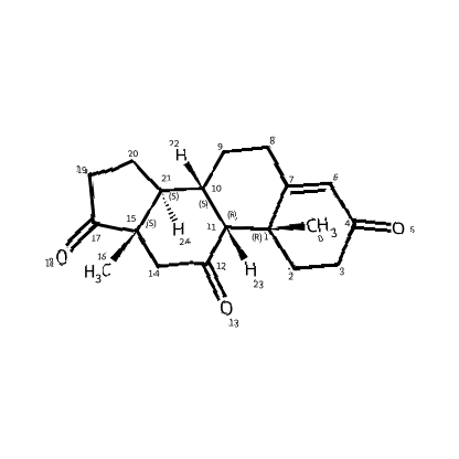 C[C@]12[CH]CC(=O)C=C1CC[C@@H]1[C@H]2C(=O)C[C@]2(C)C(=O)CC[C@@H]12